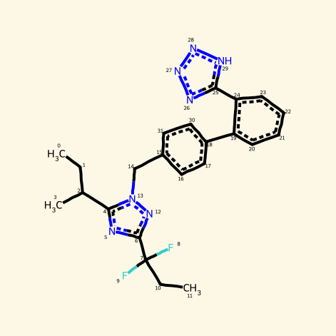 CCC(C)c1nc(C(F)(F)CC)nn1Cc1ccc(-c2ccccc2-c2nnn[nH]2)cc1